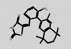 Cc1cc2c(cc1-c1c(N)cccc1C=C1SC(=O)NC1=O)C(C)(C)CCC2(C)C